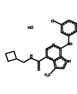 Cc1c[nH]c2c(Nc3cccc(Cl)c3)ncc(C(=O)NCC3CCC3)c12.Cl